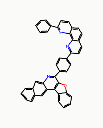 c1ccc(-c2ccc3ccc4ccc(-c5ccc(-c6nc7cc8ccccc8cc7c7c6oc6ccccc67)cc5)nc4c3n2)cc1